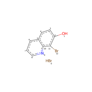 Br.Oc1ccc2cccnc2c1Br